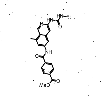 CCNC(=O)Nc1cc2cc(NC(=O)c3ccc(C(=O)OC)cc3)cc(C)c2cn1